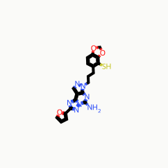 Nc1nc2c(cnn2CCCc2ccc3c(c2S)OCO3)c2nc(-c3ccco3)nn12